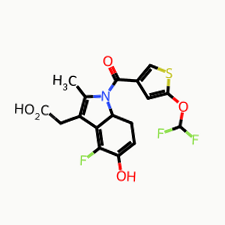 CC1=C(CC(=O)O)C2=C(F)C(O)=CCC2N1C(=O)c1csc(OC(F)F)c1